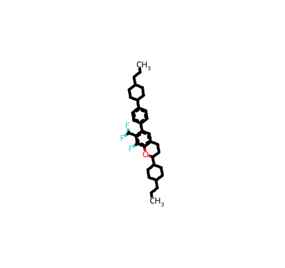 CCCC1CCC(c2ccc(-c3cc4c(c(F)c3C(F)F)OC(C3CCC(CCC)CC3)CC4)cc2)CC1